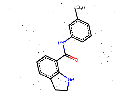 O=C(O)c1cccc(NC(=O)c2cccc3c2NCC3)c1